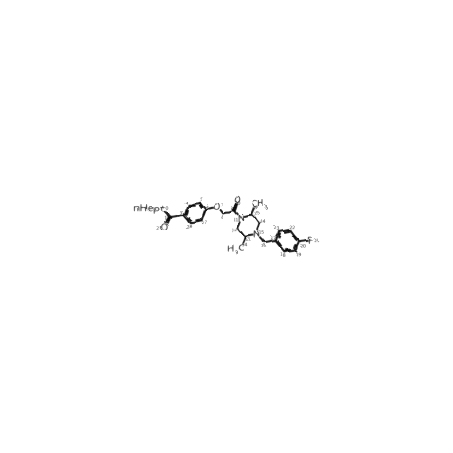 CCCCCCCC(=O)c1ccc(OCC(=O)N2CC(C)N(Cc3ccc(F)cc3)CC2C)cc1